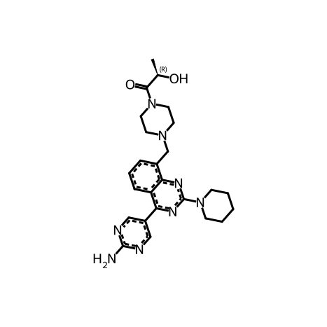 C[C@@H](O)C(=O)N1CCN(Cc2cccc3c(-c4cnc(N)nc4)nc(N4CCCCC4)nc23)CC1